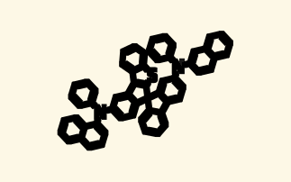 c1ccc(N(c2ccc3c(c2)C2(c4ccccc4-3)c3ccc(N(c4ccccc4)c4cccc5ccccc45)cc3-c3c2sc2ccccc32)c2ccc3ccccc3c2)cc1